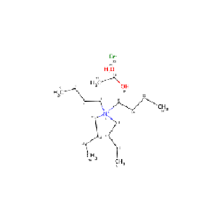 CCCC[N+](CCCC)(CCCC)CCCC.CCO.O.[Br-]